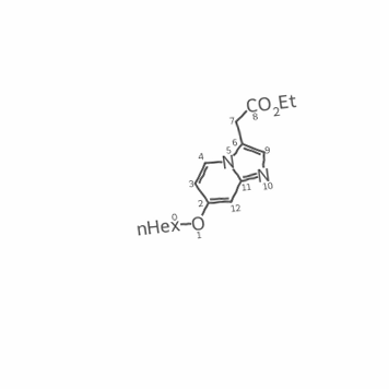 CCCCCCOc1ccn2c(CC(=O)OCC)cnc2c1